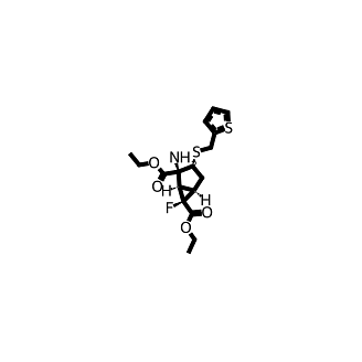 CCOC(=O)[C@@]1(N)[C@H]2[C@@H](C[C@H]1SCc1cccs1)[C@]2(F)C(=O)OCC